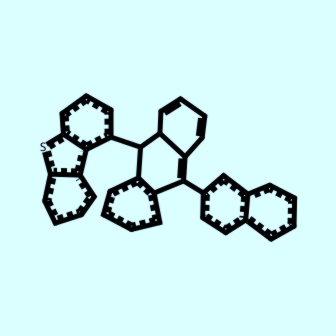 C1=CC2=C(c3ccc4ccccc4c3)c3ccccc3C(c3cccc4sc5ccccc5c34)C2C=C1